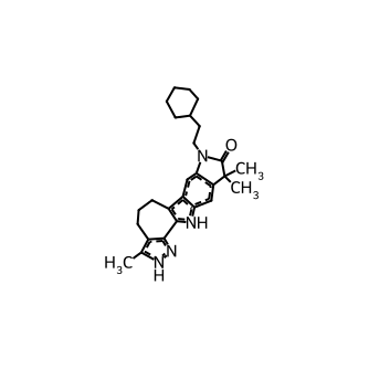 Cc1[nH]nc2c1CCCc1c-2[nH]c2cc3c(cc12)N(CCC1CCCCC1)C(=O)C3(C)C